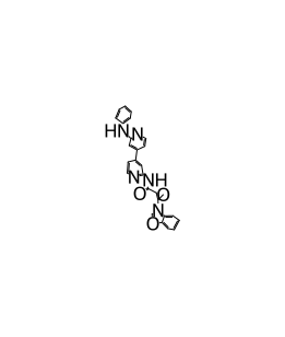 O=C(Nc1cc(-c2ccnc(Nc3ccccc3)c2)ccn1)C1OC1N1COc2ccccc21